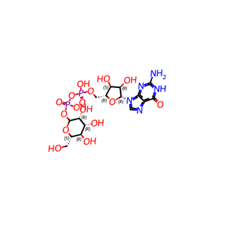 Nc1nc2c(ncn2[C@@H]2O[C@H](COP(=O)(O)OP(=O)(O)OC3O[C@@H](CO)[C@H](O)[C@@H](O)[C@H]3O)[C@@H](O)[C@H]2O)c(=O)[nH]1